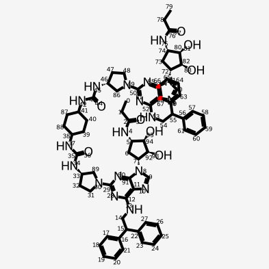 CCC(=O)N[C@H]1C[C@@H](n2cnc3c(NCC(c4ccccc4)c4ccccc4)nc(N4CC[C@@H](NC(=O)NC5CCC(NC(=O)N[C@@H]6CCN(c7nc(NCC(c8ccccc8)c8ccccc8)c8ncn([C@@H]9C[C@H](NC(=O)CC)[C@@H](O)[C@H]9O)c8n7)C6)CC5)C4)nc32)[C@H](O)[C@@H]1O